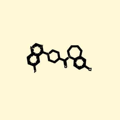 O=C(C1CCN(c2ncnc3ccc(F)cc23)CC1)N1CCCCc2cc(Cl)ccc21